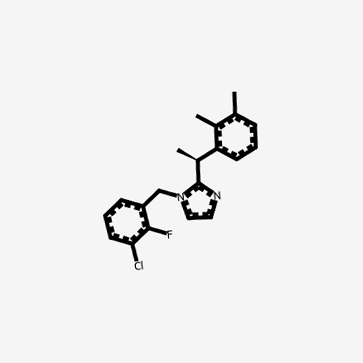 Cc1cccc([C@H](C)c2nccn2Cc2cccc(Cl)c2F)c1C